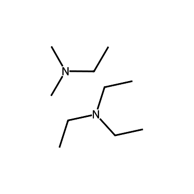 CCN(C)C.CCN(CC)CC